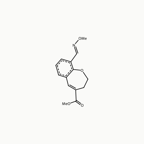 CO/N=C/c1cccc2c1OCCC(C(=O)OC)=C2